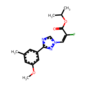 COc1cc(C)cc(-c2ncn(/C=C(/F)C(=O)OC(C)C)n2)c1